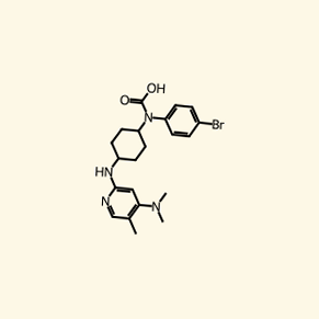 Cc1cnc(NC2CCC(N(C(=O)O)c3ccc(Br)cc3)CC2)cc1N(C)C